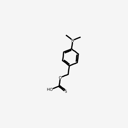 CN(C)c1ccc(COC(O)=S)cc1